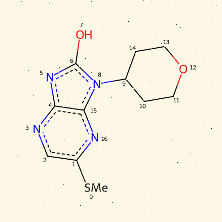 CSc1cnc2nc(O)n(C3CCOCC3)c2n1